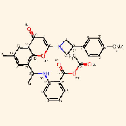 COc1ccc(C2CN(c3cc(=O)c4cc(C)cc(C(C)Nc5ccccc5C(=O)OC(=O)C(F)(F)F)c4o3)C2)cc1